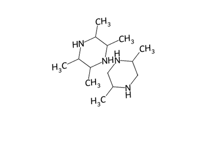 CC1CNC(C)CN1.CC1NC(C)C(C)NC1C